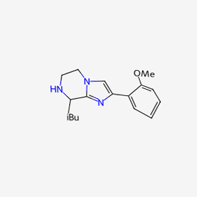 CCC(C)C1NCCn2cc(-c3ccccc3OC)nc21